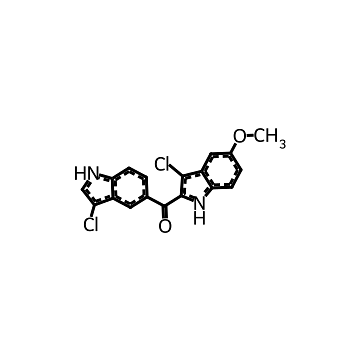 COc1ccc2[nH]c(C(=O)c3ccc4[nH]cc(Cl)c4c3)c(Cl)c2c1